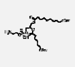 CCCCCCCCCCCCCCCCCCC(=O)OCC(COP(=O)(O)OCCN)OC(=O)CCCCCCCCCCCCCCC